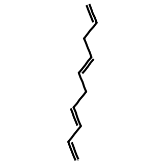 [CH]=CC=CCC=CCC=C